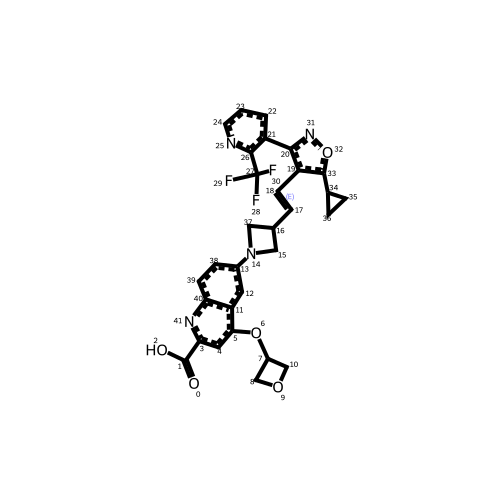 O=C(O)c1cc(OC2COC2)c2cc(N3CC(/C=C/c4c(-c5cccnc5C(F)(F)F)noc4C4CC4)C3)ccc2n1